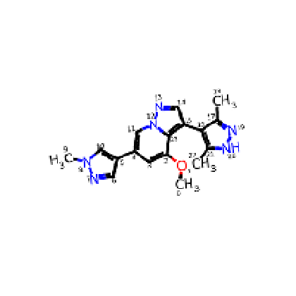 COc1cc(-c2cnn(C)c2)cn2ncc(-c3c(C)n[nH]c3C)c12